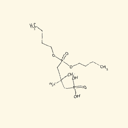 [CH2]C([CH2])(CP(=O)(O)O)CP(=O)(OCCCC)OCCCC